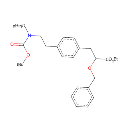 CCCCCCCN(CCc1ccc(CC(OCc2ccccc2)C(=O)OCC)cc1)C(=O)OC(C)(C)C